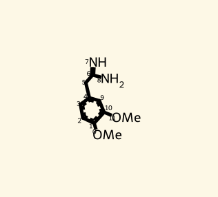 COc1ccc(CC(=N)N)cc1OC